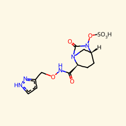 O=C(NOCc1cc[nH]n1)[C@@H]1CC[C@@H]2CN1C(=O)N2OS(=O)(=O)O